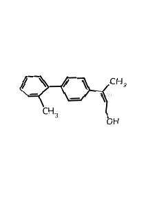 C/C(=C/CO)c1ccc(-c2ccccc2C)cc1